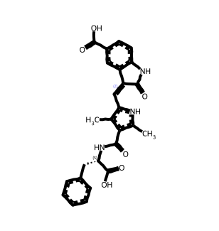 Cc1[nH]c(/C=C2\C(=O)Nc3ccc(C(=O)O)cc32)c(C)c1C(=O)N[C@@H](Cc1ccccc1)C(=O)O